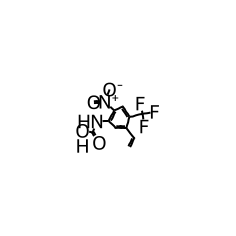 C=Cc1cc(NC(=O)O)c([N+](=O)[O-])cc1C(F)(F)F